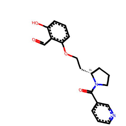 O=Cc1c(O)cccc1OCC[C@@H]1CCCN1C(=O)c1cccnc1